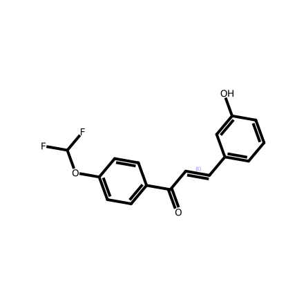 O=C(/C=C/c1cccc(O)c1)c1ccc(OC(F)F)cc1